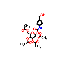 CC(=O)OC[C@H]1O[C@@H](OC(=O)Nc2ccc(CO)cc2)[C@H](OC(C)=O)[C@@H](OC(C)=O)[C@@H]1OC(C)=O